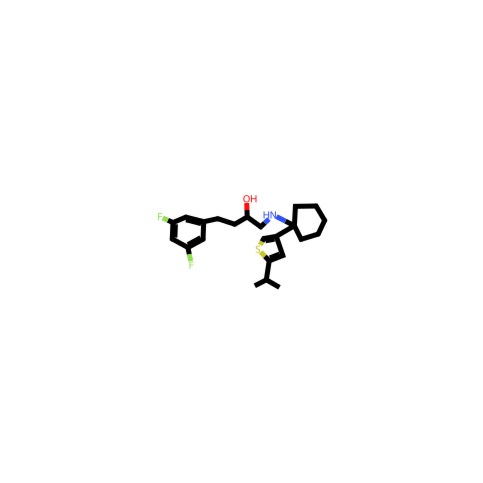 CC(C)c1cc(C2(NCC(O)CCc3cc(F)cc(F)c3)CCCCC2)cs1